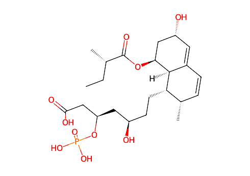 CC[C@H](C)C(=O)O[C@H]1C[C@H](O)C=C2C=C[C@H](C)[C@H](CC[C@@H](O)C[C@H](CC(=O)O)OP(=O)(O)O)[C@H]21